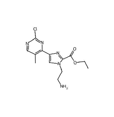 CCOC(=O)c1nc(-c2nc(Cl)ncc2C)cn1CCN